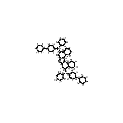 c1ccc(-c2ccc(N(c3ccccc3)c3cc4sc5cc(N(c6ccccc6)c6ccc(-c7ccccc7)cc6)c6ccccc6c5c4c4ccccc34)cc2)cc1